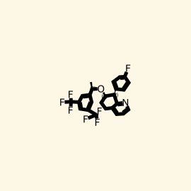 C[C@@H](O[C@@H]1CCc2cccnc2[C@H]1c1ccc(F)cc1)c1cc(C(F)(F)F)cc(C(F)(F)F)c1